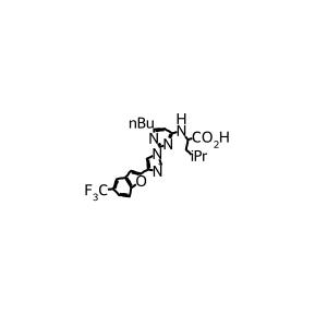 CCCCc1cc(NC(CC(C)C)C(=O)O)nc(-n2cnc(-c3cc4cc(C(F)(F)F)ccc4o3)c2)n1